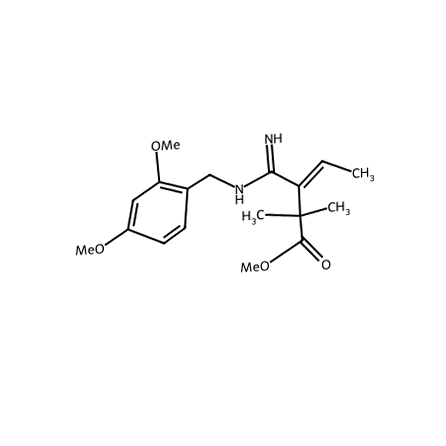 C/C=C(/C(=N)NCc1ccc(OC)cc1OC)C(C)(C)C(=O)OC